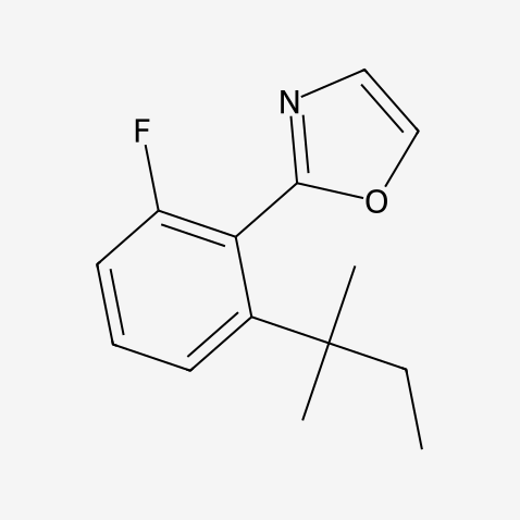 CCC(C)(C)c1cccc(F)c1-c1ncco1